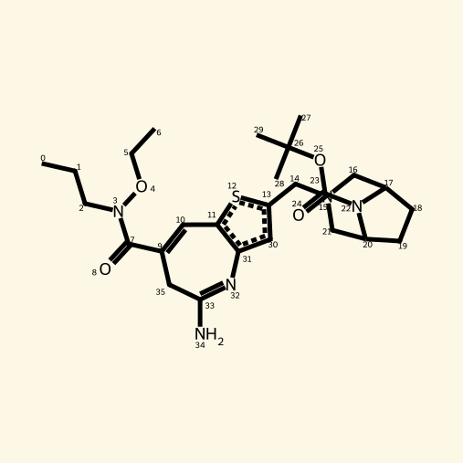 CCCN(OCC)C(=O)C1=Cc2sc(CN3CC4CCC(C3)N4C(=O)OC(C)(C)C)cc2N=C(N)C1